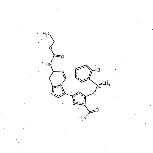 CCOC(=O)NC1C=Cn2c(-c3cc(O[C@H](C)c4ccccc4Cl)c(C(N)=O)s3)cnc2C1